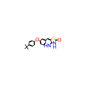 CC(C)(C)c1ccc(Oc2cccc(C=C3SC(=O)NC3=N)c2)cc1